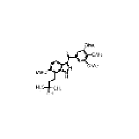 COc1cc(C(=O)c2n[nH]c3c(CCC(C)(C)O)c(OC)ccc23)cc(OC)c1OC